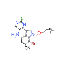 C[Si](C)(C)CCOCn1cc(-c2nc(Cl)ncc2N)c2ccc(C#N)c(Br)c21